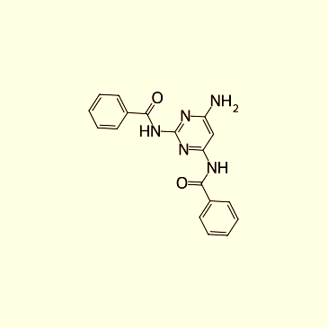 Nc1cc(NC(=O)c2ccccc2)nc(NC(=O)c2ccccc2)n1